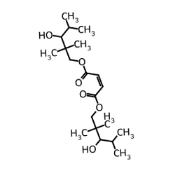 CC(C)C(O)C(C)(C)COC(=O)/C=C\C(=O)OCC(C)(C)C(O)C(C)C